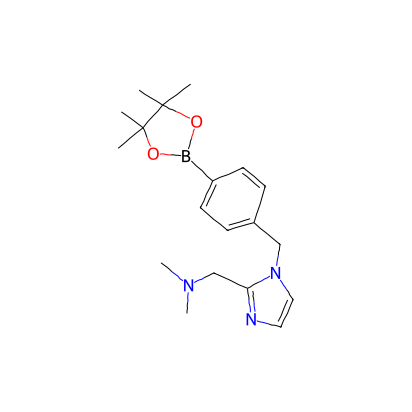 CN(C)Cc1nccn1Cc1ccc(B2OC(C)(C)C(C)(C)O2)cc1